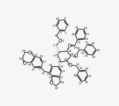 c1ccc(COC[C@H]2S[C@@H](c3cc4c(c(Cc5ccc6c(c5)OCCO6)c3)OCC4)[C@H](OCc3ccccc3)[C@@H](OCc3ccccc3)[C@@H]2OCc2ccccc2)cc1